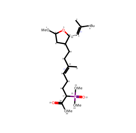 CCCC/C(C)=C/[C@H]1OC(OC)CC1CC/C(C)=C/CCC(C(=O)OC)P(=O)(OC)OC